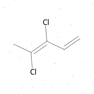 C=C/C(Cl)=C(/C)Cl